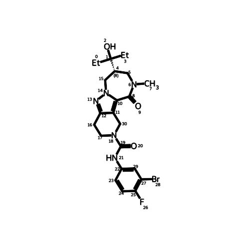 CCC(O)(CC)[C@@H]1CN(C)C(=O)c2c3c(nn2C1)CCN(C(=O)Nc1ccc(F)c(Br)c1)C3